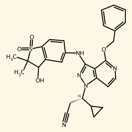 CC1(C)C(O)c2cc(Nc3nn([C@@H](CC#N)C4CC4)c4ccnc(OCc5ccccc5)c34)ccc2S1(=O)=O